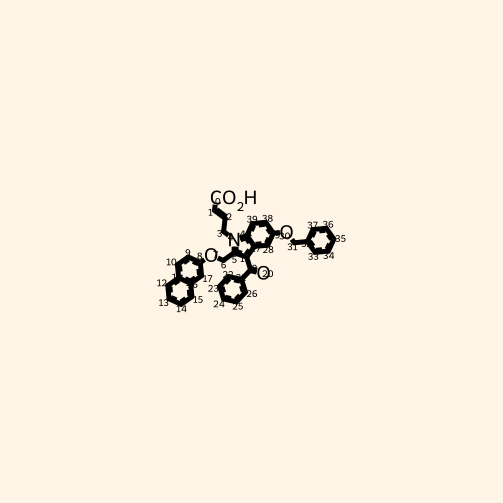 O=C(O)C=CCn1c(COc2ccc3ccccc3c2)c(C(=O)c2ccccc2)c2cc(OCc3ccccc3)ccc21